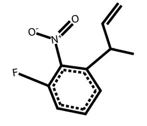 C=C[C](C)c1cccc(F)c1[N+](=O)[O-]